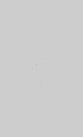 CCOC(=O)CN(C)C(=O)CC[C@@H](C)[C@H]1CCC2C3C(CC[C@@]21C)[C@@]1(C)CC[C@@H](O)CC1[C@@H](O)[C@H]3O